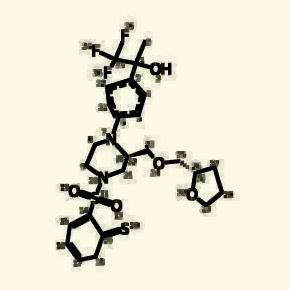 CC(O)(c1ccc(N2CCN(S(=O)(=O)C3=CC=CCC3=S)C[C@@H]2COC[C@@H]2CCCO2)cc1)C(F)(F)F